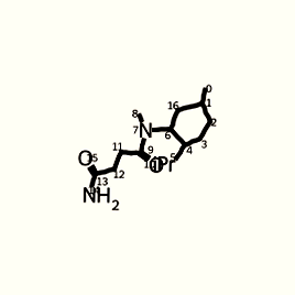 CC1CCC(C(C)C)C(N(C)C(=O)CCC(N)=O)C1